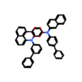 c1ccc(-c2ccc(N(c3ccc(-c4cccc5cccc(N(c6ccccc6)c6cccc(-c7ccccc7)c6)c45)cc3)c3ccc4ccccc4c3)cc2)cc1